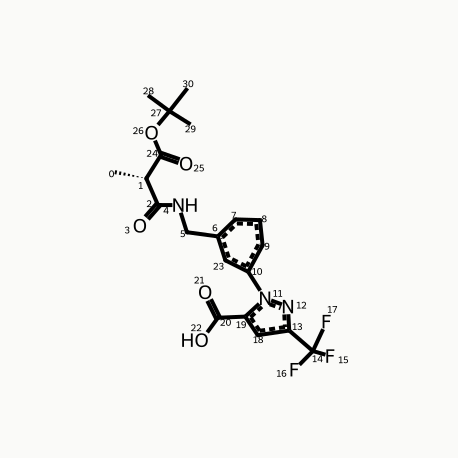 C[C@@H](C(=O)NCc1cccc(-n2nc(C(F)(F)F)cc2C(=O)O)c1)C(=O)OC(C)(C)C